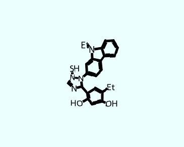 CCc1cc(C2N=CN(S)N2c2ccc3c4ccccc4n(CC)c3c2)c(O)cc1O